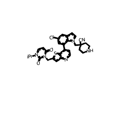 CC(C)n1ccc(=O)n(Cc2cc3nccc(-c4cc(Cl)cc5ccn(CC6(C#N)CCNCC6)c45)c3s2)c1=O